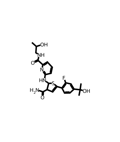 CC(O)CNC(=O)c1cccc(NC2SC(c3ccc(C(C)(C)O)cc3F)=CC2C(N)=O)n1